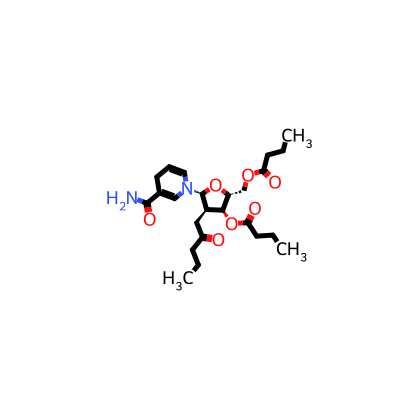 CCCC(=O)C[C@@H]1[C@H](OC(=O)CCC)[C@@H](COC(=O)CCC)O[C@H]1N1C=CCC(C(N)=O)=C1